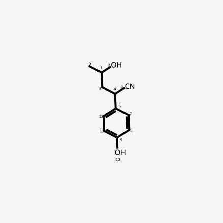 CC(O)CC(C#N)c1ccc(O)cc1